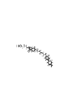 O=C(O)CCNC(=O)c1ccc(OCCCCCCc2ccc(-c3ccc(F)cc3)nc2)cc1